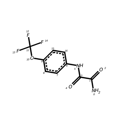 NC(=O)C(=O)Nc1ccc(OC(F)(F)F)cc1